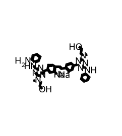 CN(CCO)c1nc(Nc2ccccc2)nc(-c2ccc(C=Cc3ccc(-c4nc(Nc5ccccc5N)nc(N(C)CCO)n4)c[c]3[Na])[c]([Na])c2)n1